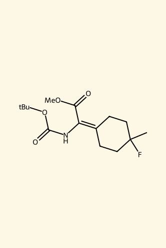 COC(=O)C(NC(=O)OC(C)(C)C)=C1CCC(C)(F)CC1